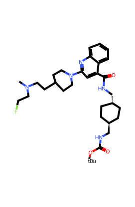 CN(CCF)CCC1CCN(c2cc(C(=O)NC[C@H]3CC[C@H](CNC(=O)OC(C)(C)C)CC3)c3ccccc3n2)CC1